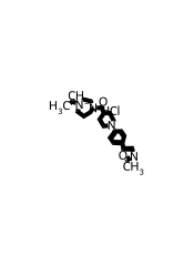 Cc1ncc(-c2ccc(N3CCC(C(=O)N4CCCN(C(C)C)CC4)CC3)cc2)o1.Cl